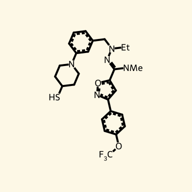 CCN(Cc1cccc(N2CCC(S)CC2)c1)/N=C(\NC)c1cc(-c2ccc(OC(F)(F)F)cc2)no1